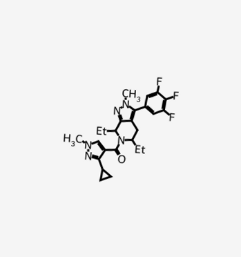 CCC1Cc2c(nn(C)c2-c2cc(F)c(F)c(F)c2)C(CC)N1C(=O)c1cn(C)nc1C1CC1